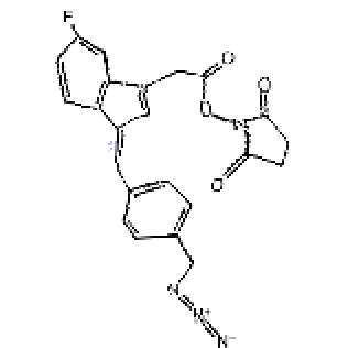 [N-]=[N+]=NCc1ccc(/C=C2\C=C(CC(=O)ON3C(=O)CCC3=O)c3cc(F)ccc32)cc1